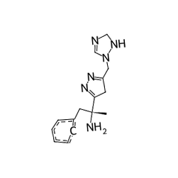 C[C@@](N)(Cc1ccccc1)C1=NN=C(CN2C=NCN2)C1